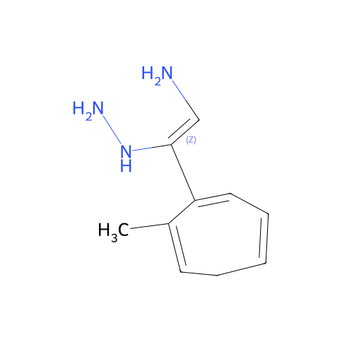 CC1=CCC=CC=C1/C(=C/N)NN